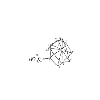 O=C(O)[C]12[CH]3[CH]4[CH]5[CH]1[Co]45321678[CH]2[CH]1[CH]6[CH]7[CH]28